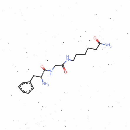 NC(=O)CCCCCNC(=O)CNC(=O)[C@@H](N)Cc1ccccc1